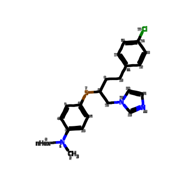 CCCCCCN(C)c1ccc(SC(CCc2ccc(Cl)cc2)Cn2ccnc2)cc1